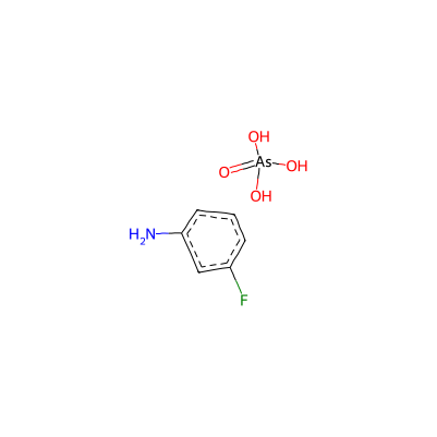 Nc1cccc(F)c1.O=[As](O)(O)O